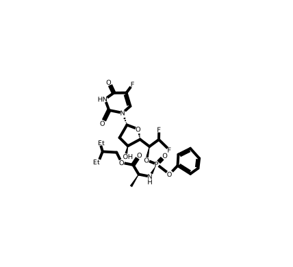 CCC(CC)COC(=O)[C@H](C)N[P@@](=O)(Oc1ccccc1)O[C@H](C(F)F)[C@H]1O[C@@H](n2cc(F)c(=O)[nH]c2=O)C[C@@H]1O